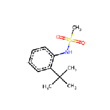 CC(C)(C)c1c[c]ccc1NS(C)(=O)=O